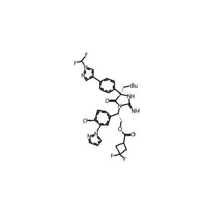 CC(C)(C)C[C@]1(c2ccc(-c3cnn(C(F)F)c3)cc2)NC(=N)N([C@H](COC(=O)C2CC(F)(F)C2)c2ccc(Cl)c(-n3cccn3)c2)C1=O